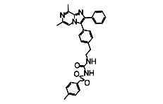 Cc1ccc(S(=O)(=O)NC(=O)NCCc2ccc(-c3c(-c4ccccc4)nc4c(C)nc(C)cn34)cc2)cc1